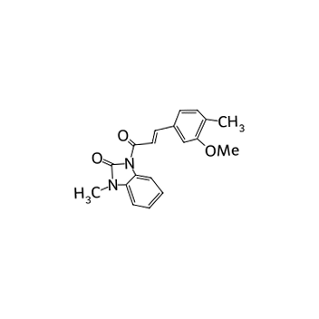 COc1cc(/C=C/C(=O)n2c(=O)n(C)c3ccccc32)ccc1C